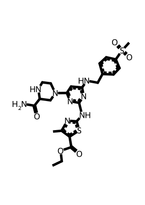 CCOC(=O)c1sc(Nc2nc(NCc3ccc(S(C)(=O)=O)cc3)cc(N3CCNC(C(N)=O)C3)n2)nc1C